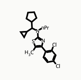 CCCN(c1nc(-c2ccc(Cl)cc2Cl)c(C)s1)C(C1CCCC1)C1CC1